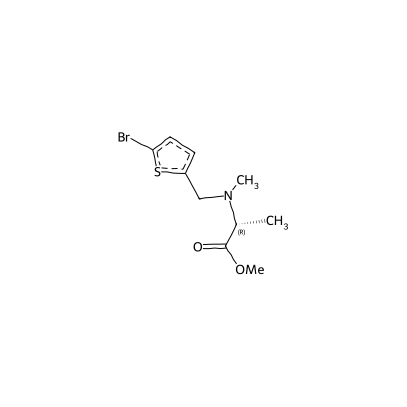 COC(=O)[C@@H](C)N(C)Cc1ccc(Br)s1